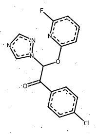 O=C(c1ccc(Cl)cc1)C(Oc1cccc(F)n1)n1cncn1